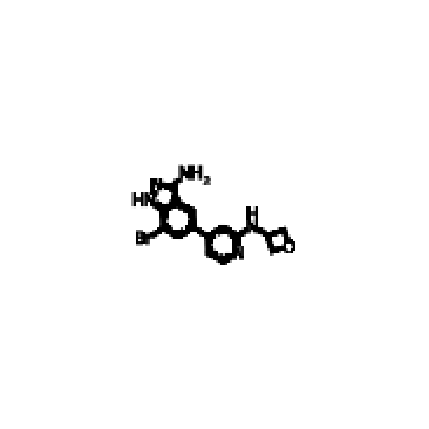 Nc1n[nH]c2c(Br)cc(-c3ccnc(NC4COC4)c3)cc12